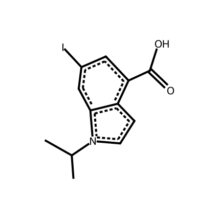 CC(C)n1ccc2c(C(=O)O)cc(I)cc21